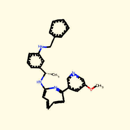 COc1cncc(C2=N/C(N[C@@H](C)c3cccc(NCc4ccccc4)c3)=C\C=C\C=C\2)c1